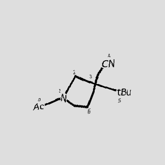 CC(=O)N1CC(C#N)(C(C)(C)C)C1